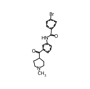 CN1CCC(C(=O)c2cccc(NC(=O)c3ccc(Br)cc3)c2)CC1